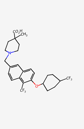 CC1(C(=O)O)CCN(Cc2ccc3c(C(F)(F)F)c(OC4CCC(C(F)(F)F)CC4)ccc3c2)CC1